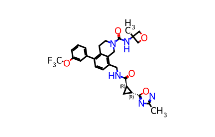 Cc1noc([C@@H]2C[C@H]2C(=O)NCc2ccc(-c3cccc(OC(F)(F)F)c3)c3c2CN(C(=O)NC2(C)COC2)CC3)n1